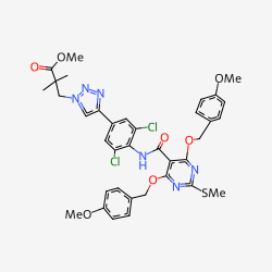 COC(=O)C(C)(C)Cn1cc(-c2cc(Cl)c(NC(=O)c3c(OCc4ccc(OC)cc4)nc(SC)nc3OCc3ccc(OC)cc3)c(Cl)c2)nn1